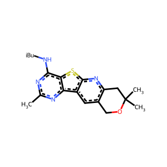 CCC(C)Nc1nc(C)nc2c1sc1nc3c(cc12)COC(C)(C)C3